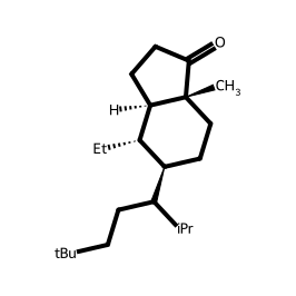 CC[C@@H]1[C@H]2CCC(=O)[C@]2(C)CC[C@H]1C(CCC(C)(C)C)C(C)C